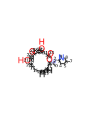 C/C(=C\c1ccc(C)cn1)[C@@H]1C[C@@H]2C[C@H]2CCC[C@H](C)[C@H](O)[C@@H](C)C(=O)C(C)(C)[C@@H](O)CC(=O)O1